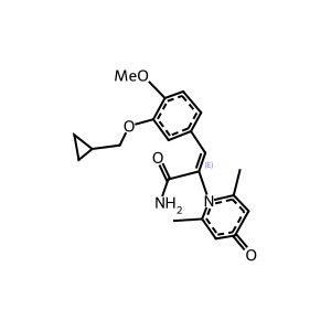 COc1ccc(/C=C(\C(N)=O)n2c(C)cc(=O)cc2C)cc1OCC1CC1